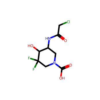 O=C(CCl)NC1CN(C(=O)O)CC(F)(F)C1O